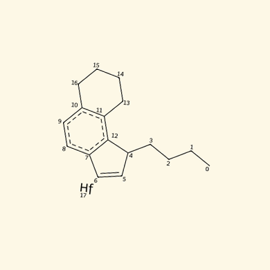 CCCCC1C=Cc2ccc3c(c21)CCCC3.[Hf]